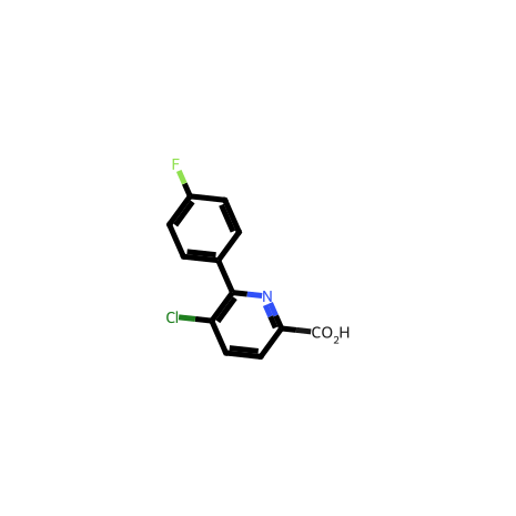 O=C(O)c1ccc(Cl)c(-c2ccc(F)cc2)n1